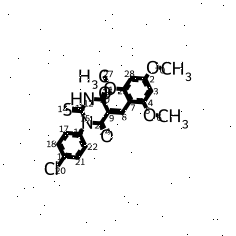 COc1cc(OC)c(C=C2C(=O)NC(=S)N(c3ccc(Cl)cc3)C2=O)c(OC)c1